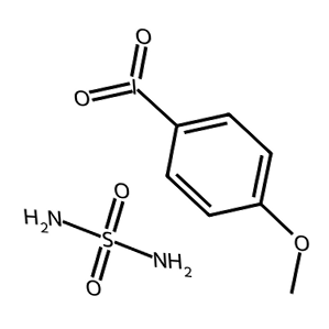 COc1ccc(I(=O)=O)cc1.NS(N)(=O)=O